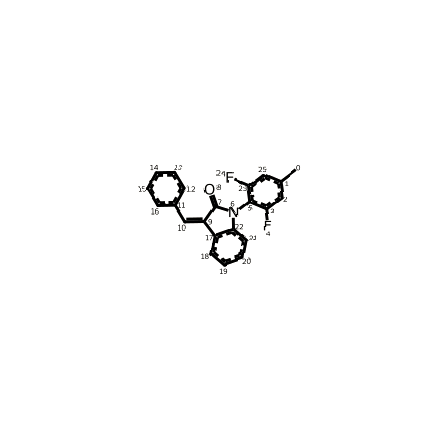 Cc1cc(F)c(N2C(=O)C(=Cc3ccccc3)c3ccccc32)c(F)c1